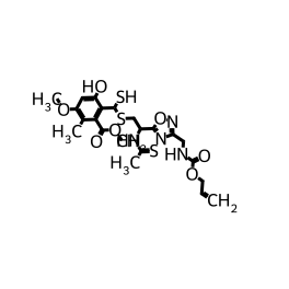 C=CCOC(=O)NCc1noc(C(CSC(S)c2c(O)cc(OC)c(C)c2C(=O)OC)NC(C)=S)n1